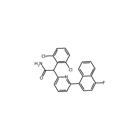 NC(=O)C(c1cccc(-c2ccc(F)c3ccccc23)n1)c1c(Cl)cccc1Cl